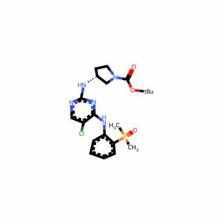 CC(C)(C)OC(=O)N1CC[C@@H](Nc2ncc(Cl)c(Nc3ccccc3P(C)(C)=O)n2)C1